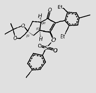 CCc1cc(C)cc(CC)c1C1=C(OS(=O)(=O)c2ccc(C)cc2)[C@H]2C[C@@]3(COC(C)(C)O3)C[C@H]2C1=O